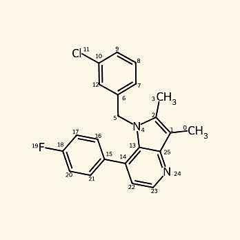 Cc1c(C)n(Cc2cccc(Cl)c2)c2c(-c3ccc(F)cc3)ccnc12